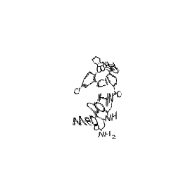 COC(=O)[C@H](CC(N)=O)NC(=O)CNC(=O)c1ccc(S(=O)(=O)Nc2ccccc2Oc2ccc(Cl)cc2Cl)cc1